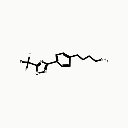 NCCCCc1ccc(-c2noc(C(F)(F)F)n2)cc1